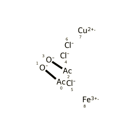 CC(=O)[O-].CC(=O)[O-].[Cl-].[Cl-].[Cl-].[Cu+2].[Fe+3]